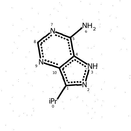 CC(C)c1n[nH]c2c(N)ncnc12